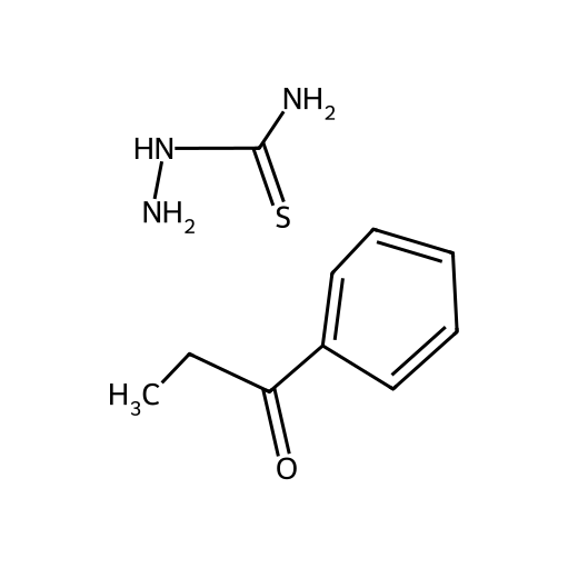 CCC(=O)c1ccccc1.NNC(N)=S